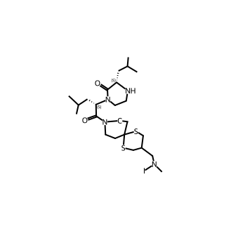 CC(C)C[C@@H]1NCCN([C@@H](CC(C)C)C(=O)N2CCC3(CC2)SCC(CN(C)I)CS3)C1=O